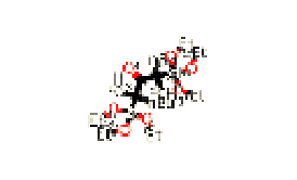 CCCCC(C)(C(=O)C(C)(CCCC)[Si](OCC)(OCC)OCC)[Si](OCC)(OCC)OCC